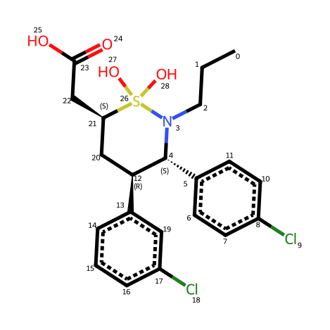 CCCN1[C@H](c2ccc(Cl)cc2)[C@@H](c2cccc(Cl)c2)C[C@@H](CC(=O)O)S1(O)O